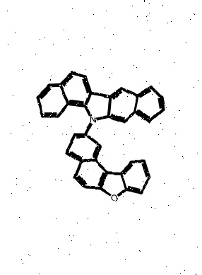 c1ccc2cc3c(cc2c1)c1ccc2ccccc2c1n3-c1ccc2ccc3oc4ccccc4c3c2c1